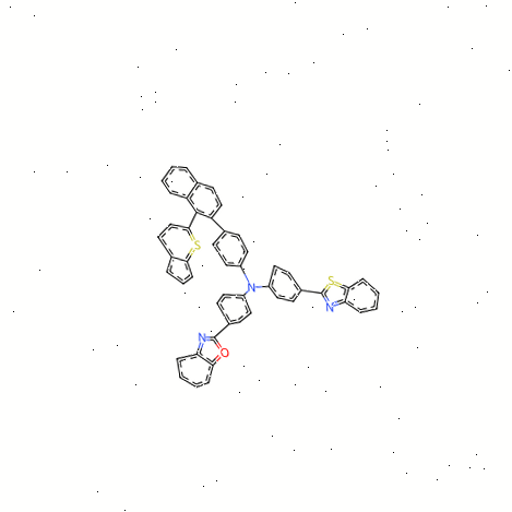 c1cc2ccc(-c3c(-c4ccc(N(c5ccc(-c6nc7ccccc7o6)cc5)c5ccc(-c6nc7ccccc7s6)cc5)cc4)ccc4ccccc34)sc-2c1